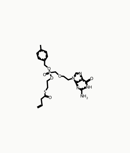 C=CCC(=O)SCCOP(=O)(COCCn1cnc2c(=O)[nH]c(N)nc21)OCc1ccc(C)cc1